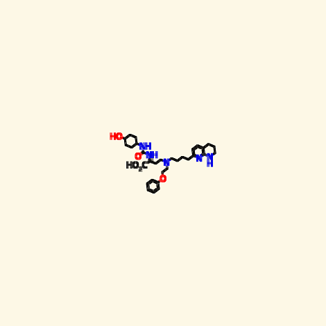 O=C(NC1CCC(O)CC1)N[C@@H](CCN(CCCCc1ccc2c(n1)NCCC2)CCOc1ccccc1)C(=O)O